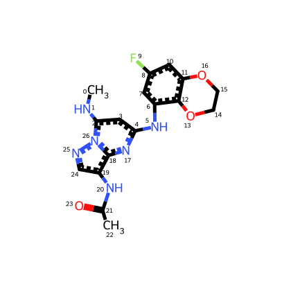 CNc1cc(Nc2cc(F)cc3c2OCCO3)nc2c(NC(C)=O)cnn12